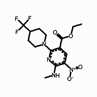 CCOC(=O)c1cc([N+](=O)[O-])c(NC)nc1N1CCC(C(F)(F)F)CC1